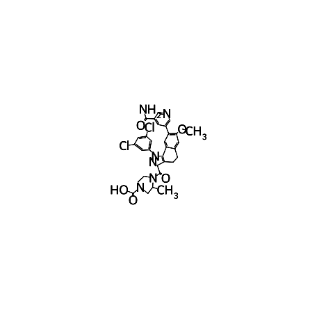 COc1cc2c(cc1-c1cncc(C(N)=O)c1)-c1c(c(C(=O)N3CCN(C(=O)O)CC3C)nn1-c1cc(Cl)cc(Cl)c1)CC2